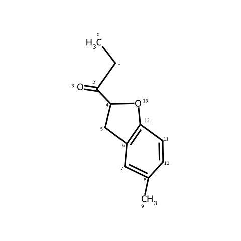 CCC(=O)C1Cc2cc(C)ccc2O1